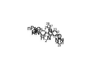 CCCS(=O)(=O)Nc1ccc(-c2c(N)c3cc(Oc4ncccn4)ccc3n2C2CCC2)cc1